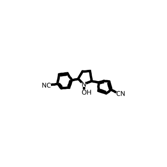 N#Cc1ccc(C2CCC(c3ccc(C#N)cc3)N2O)cc1